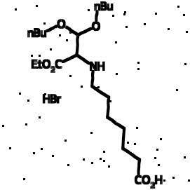 Br.CCCCOC(OCCCC)C(NCCCCCCC(=O)O)C(=O)OCC